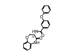 O=C(N[C@H]1COc2ccccc2NC1=O)c1cccc(Oc2ccccc2)c1